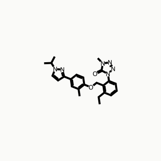 CCc1cccc(-n2nnn(C)c2=O)c1COc1ccc(-c2ccn(C(C)C)n2)cc1C